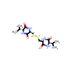 CC(C)[C@H]1NC(=O)C(CSSC[C@@H]2NC(=O)[C@@H](C(C)C)NC2=O)NC1=O